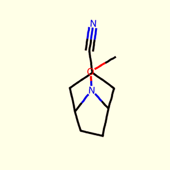 CON1C2CCC1CC(C#N)C2